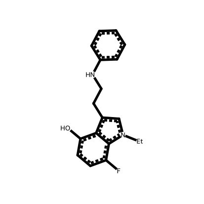 CCn1cc(CCNc2ccccc2)c2c(O)ccc(F)c21